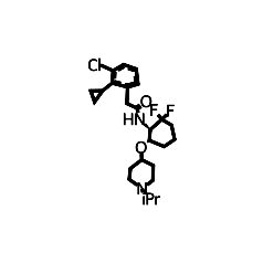 CC(C)N1CCC(O[C@H]2CCCC(F)(F)[C@@H]2NC(=O)Cc2cccc(Cl)c2C2CC2)CC1